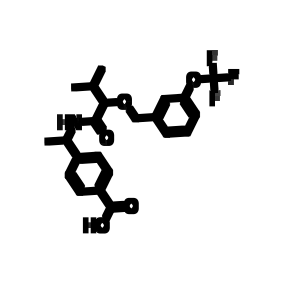 CC(NC(=O)C(OCc1cccc(OC(F)(F)F)c1)C(C)C)c1ccc(C(=O)O)cc1